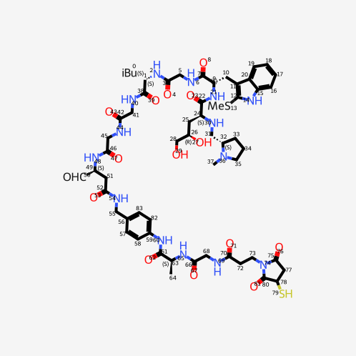 CC[C@H](C)[C@H](NC(=O)CNC(=O)[C@H](Cc1c(SC)[nH]c2ccccc12)NC(=O)[C@H](C[C@@H](O)CO)NC[C@@H]1CCCN1C)C(=O)NCC(=O)NCC(=O)N[C@H](C=O)CC(=O)NCc1ccc(NC(=O)[C@H](C)NC(=O)CNC(=O)CCN2C(=O)CC(S)C2=O)cc1